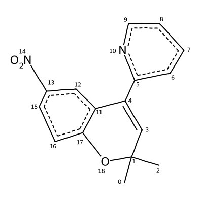 CC1(C)C=C(c2ccccn2)c2cc([N+](=O)[O-])ccc2O1